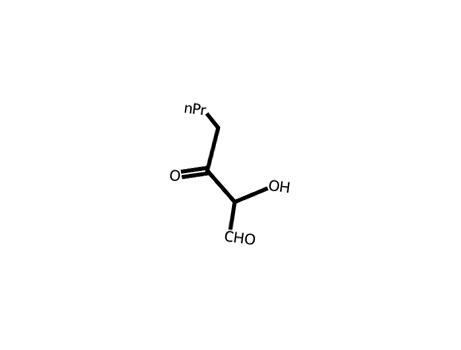 CCCCC(=O)C(O)C=O